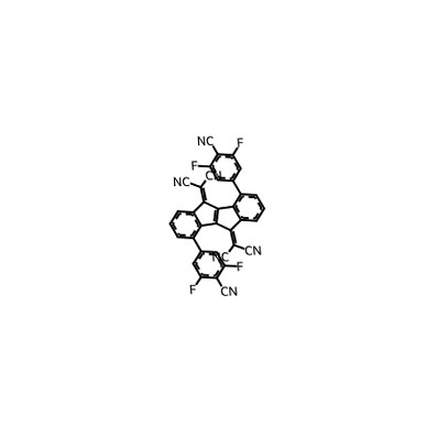 N#CC(C#N)=C1C2=C(C(=C(C#N)C#N)c3cccc(-c4cc(F)c(C#N)c(F)c4)c32)c2c1cccc2-c1cc(F)c(C#N)c(F)c1